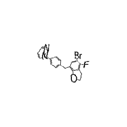 Fc1c(Br)cc(Cc2ccc(-n3cccn3)cc2)c2c1CCO2